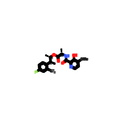 COc1ccnc(C(=O)N[C@@H](C)C(=O)O[C@@H](C)[C@@H](C)c2ccc(F)cc2C(F)(F)F)c1O